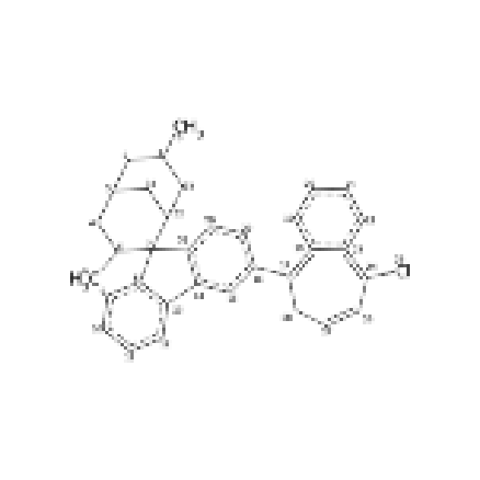 CC1CC2CC(C)C3(c4ccccc4-c4cc(C5=c6ccccc6=C(Cl)C=CC5)ccc43)C(C1)C2